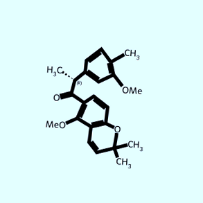 COc1cc([C@@H](C)C(=O)c2ccc3c(c2OC)C=CC(C)(C)O3)ccc1C